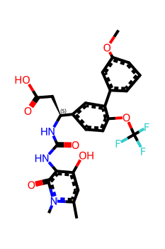 COc1cccc(-c2cc([C@H](CC(=O)O)NC(=O)Nc3c(O)cc(C)n(C)c3=O)ccc2OC(F)(F)F)c1